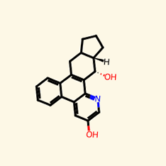 Oc1cnc2c3c(c4ccccc4c2c1)CC1CCC[C@@H]1[C@@H]3O